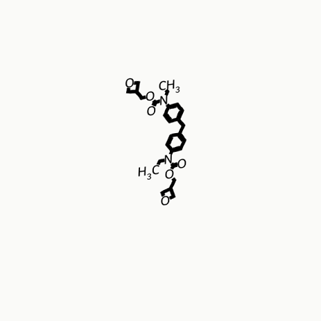 CCN(C(=O)OCC1COC1)c1ccc(Cc2ccc(N(CC)C(=O)OCC3COC3)cc2)cc1